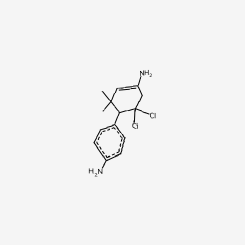 CC1(C)C=C(N)CC(Cl)(Cl)C1c1ccc(N)cc1